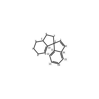 C1=CC2(CCC3CCCC=C32)c2ccccc21